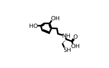 O=C(O)[C@H](CS)NCCc1ccc(O)cc1O